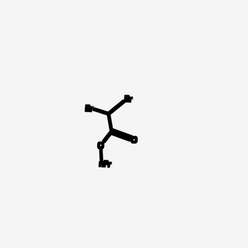 CCCOC(=O)C(Br)Br